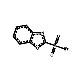 CC(C)S(=O)(=O)c1nc2ccccc2o1